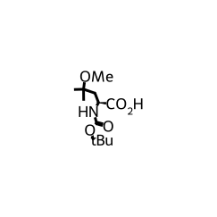 COC(C)(C)C[C@H](NC(=O)OC(C)(C)C)C(=O)O